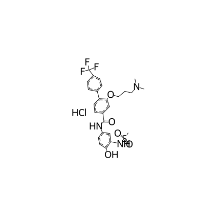 CN(C)CCCOc1cc(C(=O)Nc2ccc(O)c(NS(C)(=O)=O)c2)ccc1-c1ccc(C(F)(F)F)cc1.Cl